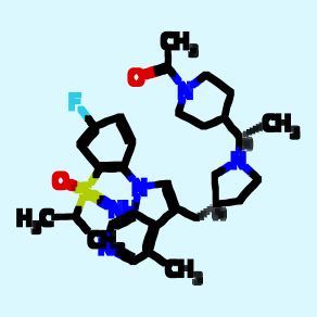 CC(=O)N1CCC([C@H](C)N2CC[C@H](Cc3cn(-c4ccc(F)cc4S(=N)(=O)C(C)C)c4cncc(C)c34)C2)CC1